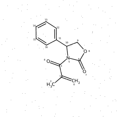 C=C(C)C(=O)N1C(=O)OCC1c1ccccc1